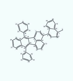 Cc1ncc(-c2ccc3c4c(cccc24)-c2c-3c(-c3ccccc3)c3ccccc3c2-c2ccccc2)c2ccccc12